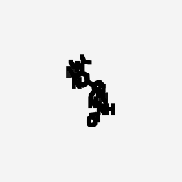 Cc1nc2ncc(-c3ccn4nc(NC5COC5)ncc34)cc2n1C(C)C